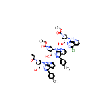 C=CC(=O)N1C[C@@H](CO)[C@H](Nc2nnc(-c3ccc(C(F)(F)F)cc3)c3cccnc23)C1.CC(C)(C)OC(=O)N1C[C@@H](CO)[C@H](Nc2nnc(-c3ccc(C(F)(F)F)cc3)c3cccnc23)C1.CC(C)(C)OC(=O)N1C[C@@H](CO)[C@H](Nc2nnc(Cl)c3cccnc23)C1